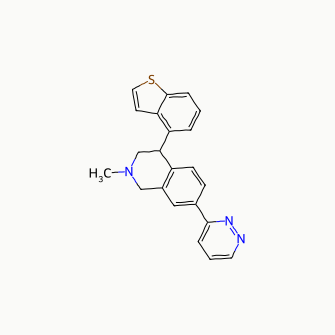 CN1Cc2cc(-c3cccnn3)ccc2C(c2cccc3sccc23)C1